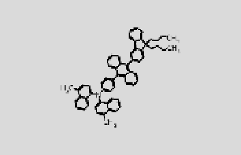 CCCCC1(CCCC)c2ccccc2-c2cc(-c3c4ccccc4c(-c4ccc(N(c5ccc(C)c6ccccc56)c5ccc(C)c6ccccc56)cc4)c4ccccc34)ccc21